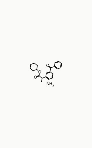 CC(C(=O)OC1CCCCC1)c1cccc(C(=O)c2ccccc2)c1.N